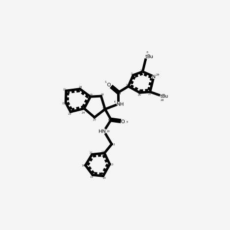 CC(C)(C)c1cc(C(=O)NC2(C(=O)NCc3ccccc3)Cc3ccccc3C2)cc(C(C)(C)C)n1